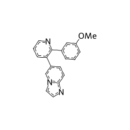 COc1cccc(-c2ncccc2-c2ccc3nccn3c2)c1